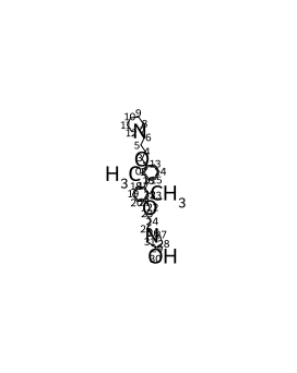 Cc1c(OCCCN2CCCCC2)cccc1-c1cccc(OCCCN2CCC(O)C2)c1C